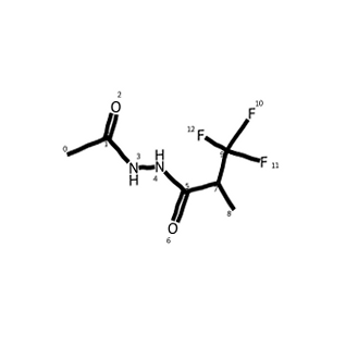 CC(=O)NNC(=O)C(C)C(F)(F)F